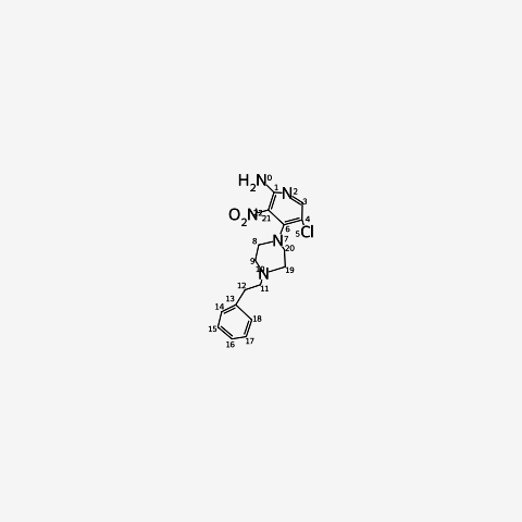 Nc1ncc(Cl)c(N2CCN(CCc3ccccc3)CC2)c1[N+](=O)[O-]